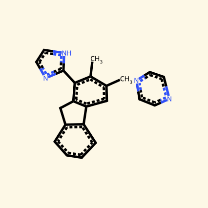 Cc1cc2c(c(-c3ncc[nH]3)c1C)Cc1ccccc1-2.c1cnccn1